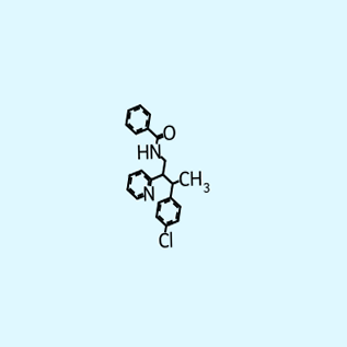 CC(c1ccc(Cl)cc1)C(CNC(=O)c1ccccc1)c1ccccn1